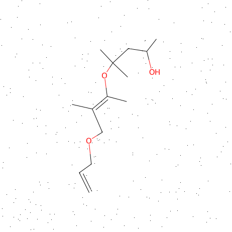 C=CCOC/C(C)=C(\C)OC(C)(C)CC(C)O